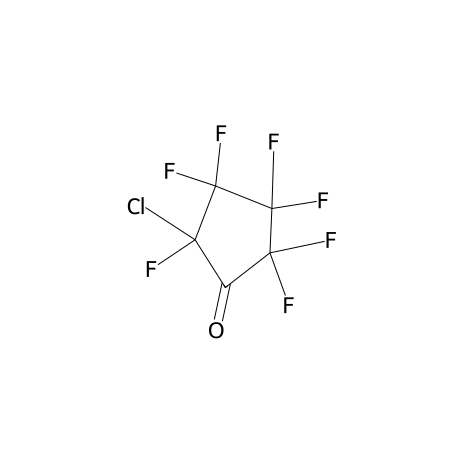 O=C1C(F)(F)C(F)(F)C(F)(F)C1(F)Cl